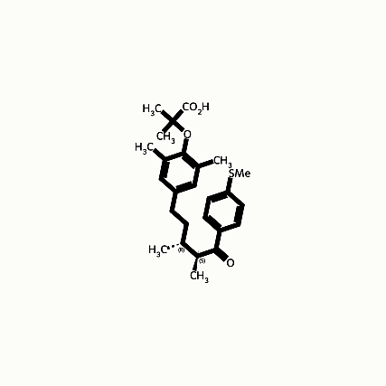 CSc1ccc(C(=O)[C@@H](C)[C@H](C)CCc2cc(C)c(OC(C)(C)C(=O)O)c(C)c2)cc1